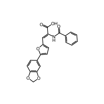 O=C(O)C(=Cc1ccc(-c2ccc3c(c2)OCO3)o1)NC(=O)c1ccccc1